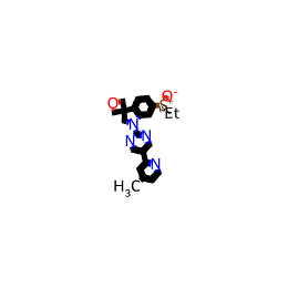 CC[S@@+]([O-])c1ccc2c(c1)N(c1ncc(-c3cc(C)ccn3)cn1)CC21COC1